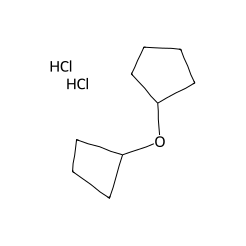 C1CCC(OC2CCC2)C1.Cl.Cl